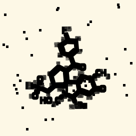 CCS(=O)(=O)Cc1ccc(C(=O)c2ccc(F)cc2)c(-c2cn(C)c(=O)cc2C(NC(=O)O)C(C)(C)C)c1